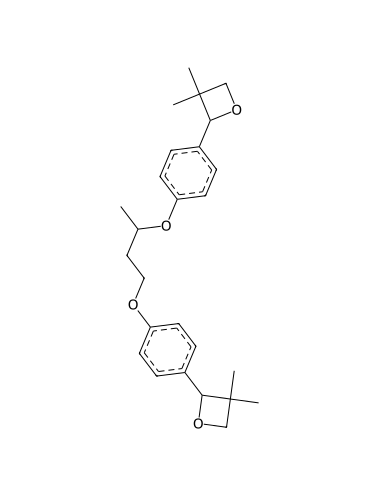 CC(CCOc1ccc(C2OCC2(C)C)cc1)Oc1ccc(C2OCC2(C)C)cc1